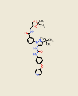 CC1(C)OCC(CNC(=O)c2cccc(-n3nc(C(C)(C)C)cc3NC(=O)Nc3ccc(Oc4ccncc4)cc3)c2)O1